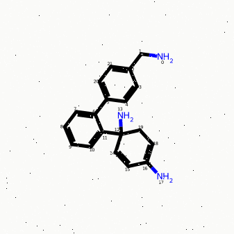 NCc1ccc(-c2ccccc2C2(N)C=CC(N)=CC2)cc1